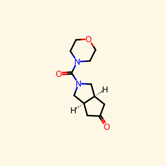 O=C1C[C@@H]2CN(C(=O)N3CCOCC3)C[C@@H]2C1